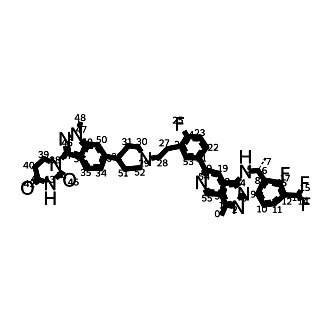 Cc1nnc(N[C@H](C)c2cccc(C(F)F)c2F)c2cc(-c3ccc(F)c(CCN4CCC(c5ccc6c(N7CCC(=O)NC7=O)nn(C)c6c5)CC4)c3)ncc12